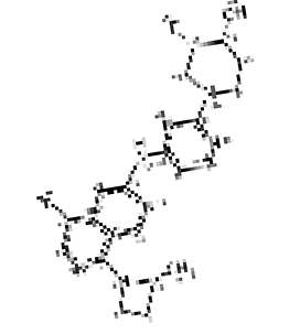 CC(C)c1cnc(N2CC[C@@H]2C)c2cnc(Nc3ccnc(N4CC[C@@H](O)[C@@H](F)C4)n3)cc12